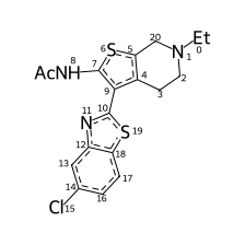 CCN1CCc2c(sc(NC(C)=O)c2-c2nc3cc(Cl)ccc3s2)C1